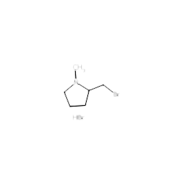 Br.CN1CCCC1CBr